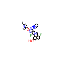 C#Cc1c(F)ccc2cc(O)cc(-c3ncc4c(N5CC6CCC(C5)N6)nc(OCC56CCCN5C(CC)CC6)nc4c3F)c12